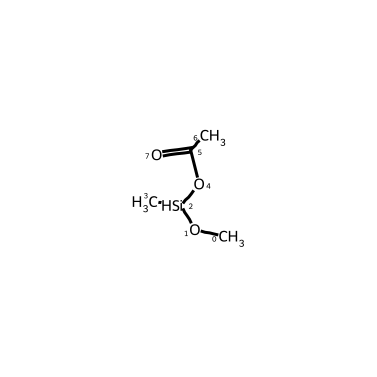 CO[SiH](C)OC(C)=O